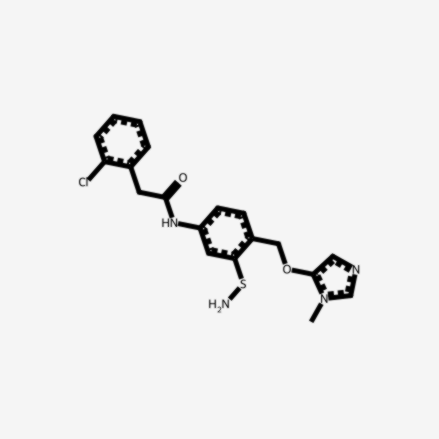 Cn1cncc1OCc1ccc(NC(=O)Cc2ccccc2Cl)cc1SN